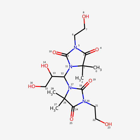 CC1(C)C(=O)N(CCO)C(=O)N1C(C(O)CO)N1C(=O)N(CCO)C(=O)C1(C)C